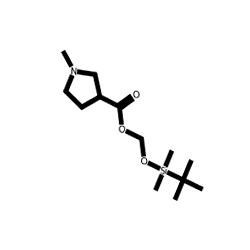 CN1CCC(C(=O)OCO[Si](C)(C)C(C)(C)C)C1